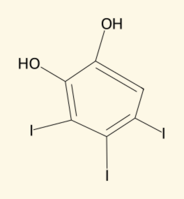 Oc1cc(I)c(I)c(I)c1O